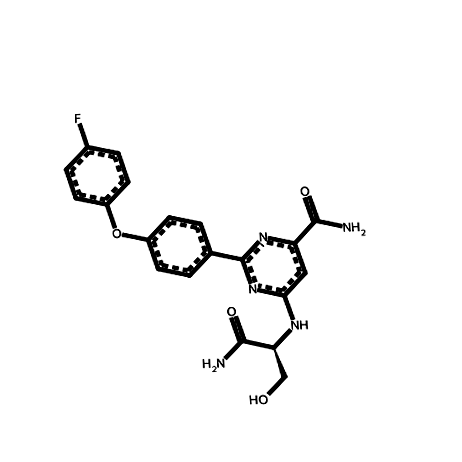 NC(=O)c1cc(N[C@@H](CO)C(N)=O)nc(-c2ccc(Oc3ccc(F)cc3)cc2)n1